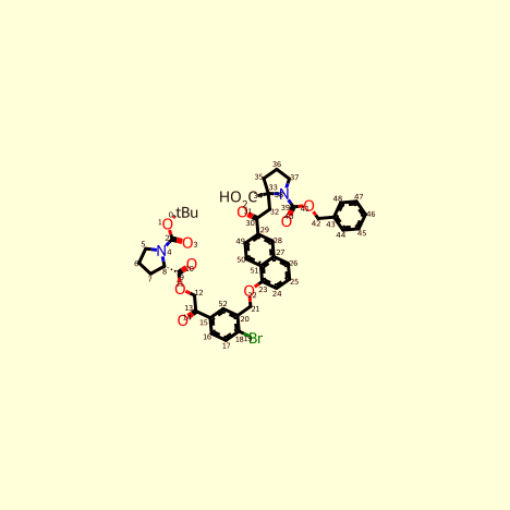 CC(C)(C)OC(=O)N1CCC[C@H]1C(=O)OCC(=O)c1ccc(Br)c(COc2cccc3cc(C(=O)CC4(C(=O)O)CCCN4C(=O)OCc4ccccc4)ccc23)c1